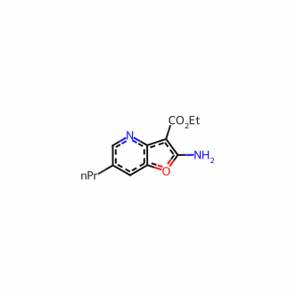 CCCc1cnc2c(C(=O)OCC)c(N)oc2c1